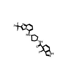 O=C(N[C@H]1CC[C@@H](Nc2cccc3nc(C(F)(F)F)cn23)CC1)c1ccc2[nH]ncc2c1F